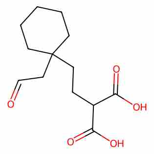 O=CCC1(CCC(C(=O)O)C(=O)O)CCCCC1